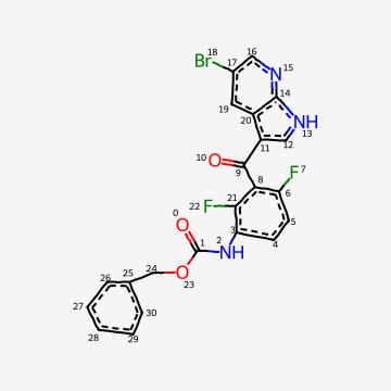 O=C(Nc1ccc(F)c(C(=O)c2c[nH]c3ncc(Br)cc23)c1F)OCc1ccccc1